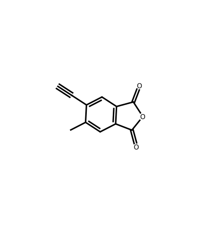 C#Cc1cc2c(cc1C)C(=O)OC2=O